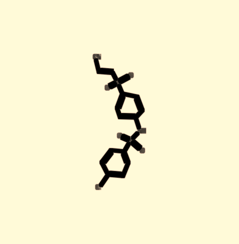 N#C/C=C/S(=O)(=O)c1ccc(NS(=O)(=O)c2ccc(Cl)cc2)cc1